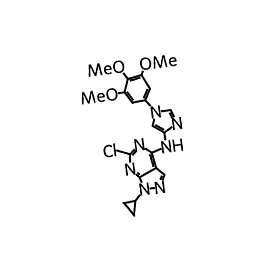 COc1cc(-n2cnc(Nc3nc(Cl)nc4c3cnn4C3CC3)c2)cc(OC)c1OC